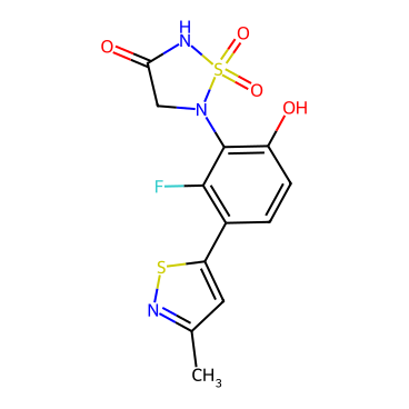 Cc1cc(-c2ccc(O)c(N3CC(=O)NS3(=O)=O)c2F)sn1